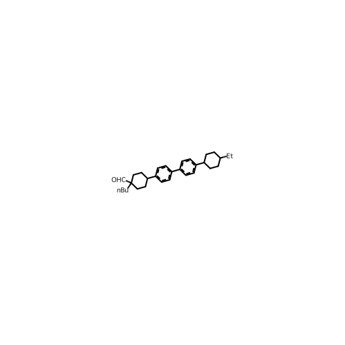 CCCCC1(C=O)CCC(c2ccc(-c3ccc(C4CCC(CC)CC4)cc3)cc2)CC1